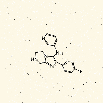 Fc1ccc(-c2nc3n(c2Nc2cccnc2)CCNC3)cc1